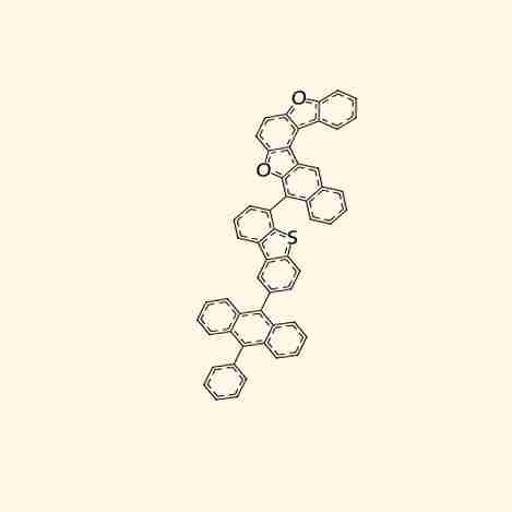 c1ccc(-c2c3ccccc3c(-c3ccc4sc5c(-c6c7ccccc7cc7c6oc6ccc8oc9ccccc9c8c67)cccc5c4c3)c3ccccc23)cc1